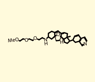 COCCOCCOCCNC1CCC2=CC3=CCC4(C)C(C5C=Cc6ccncc6C5)CC[C@H]4[C@@]34CC[C@]2(C1)O4